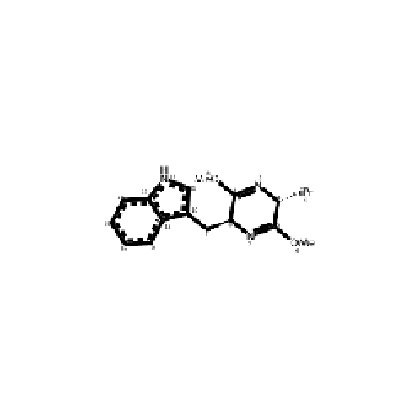 COC1=N[C@H](C(C)C)C(OC)=N[C@H]1Cc1c[nH]c2ccccc12